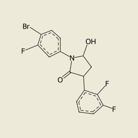 O=C1C(c2cccc(F)c2F)CC(O)N1c1ccc(Br)c(F)c1